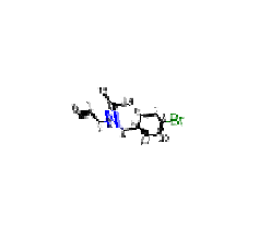 C=CCN(Cc1ccc(Br)cc1)C(C)C